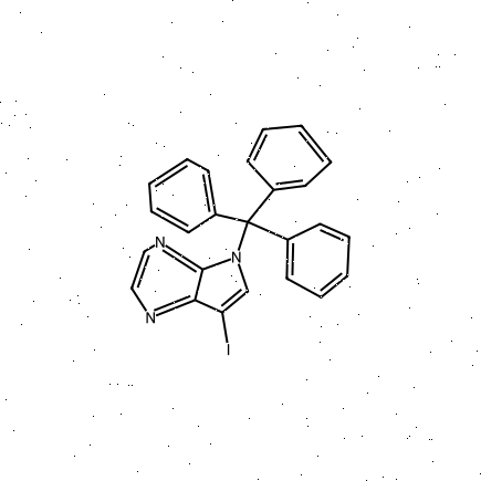 Ic1cn(C(c2ccccc2)(c2ccccc2)c2ccccc2)c2nccnc12